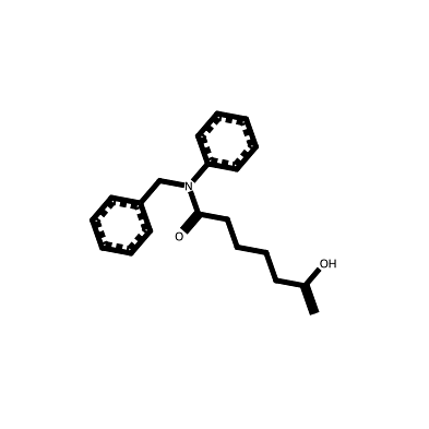 C=C(O)CCCCC(=O)N(Cc1ccccc1)c1ccccc1